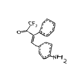 Nc1ccc(C=C(C(=O)C(F)(F)F)c2ccccc2)cc1